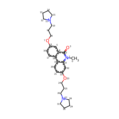 Cn1c(=O)c2cc(OCCCN3CCCC3)ccc2c2ccc(OCCCN3CCCC3)cc21